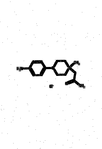 C[N+]1(CC(N)=O)CCN(c2ccc(N)cc2)CC1.[Cl-]